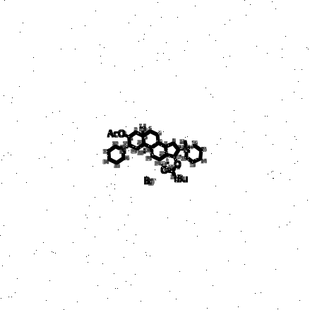 CC(=O)O[C@H]1C[C@@H]2CCC3C4C[C@H]([N+]5(C)CCCCC5)[C@@H](OC(=O)C(C)(C)C)[C@@]4(C)CCC3[C@@]2(C)C[C@@H]1N1CCCCC1.[Br-]